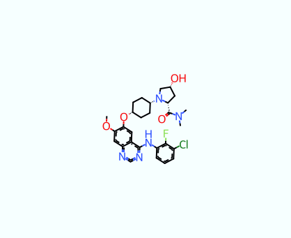 COc1cc2ncnc(Nc3cccc(Cl)c3F)c2cc1O[C@H]1CC[C@@H](N2C[C@H](O)C[C@@H]2C(=O)N(C)C)CC1